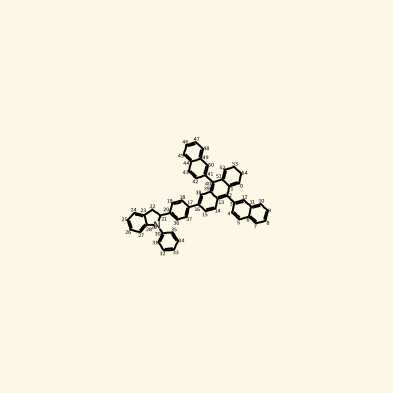 C1=c2c(-c3ccc4ccccc4c3)c3ccc(-c4ccc(C5Cc6ccccc6N5c5ccccc5)cc4)cc3c(-c3ccc4ccccc4c3)c2=CCC1